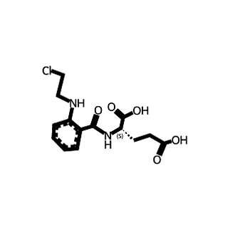 O=C(O)CC[C@H](NC(=O)c1ccccc1NCCCl)C(=O)O